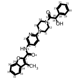 Cc1c(C(=O)Nc2ccc(N3CCN(C(=O)[C@H](O)c4ccccc4)CC3)nc2)oc2ccccc12